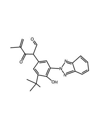 C=C(C)C(=O)C(C=O)c1cc(-n2nc3ccccc3n2)c(O)c(C(C)(C)C)c1